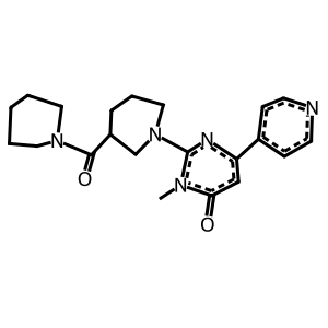 Cn1c(N2CCCC(C(=O)N3CCCCC3)C2)nc(-c2ccncc2)cc1=O